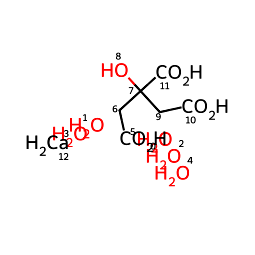 O.O.O.O.O.O=C(O)CC(O)(CC(=O)O)C(=O)O.[CaH2]